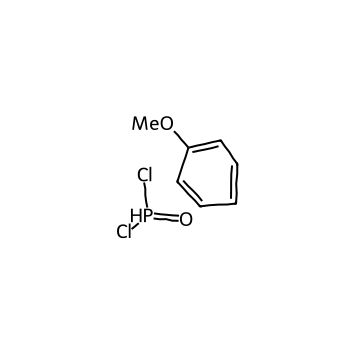 COc1ccccc1.O=[PH](Cl)Cl